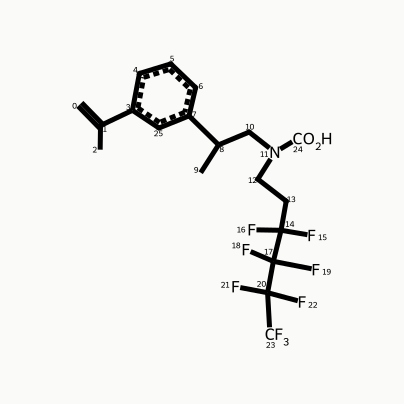 C=C(C)c1cccc(C(C)CN(CCC(F)(F)C(F)(F)C(F)(F)C(F)(F)F)C(=O)O)c1